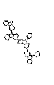 C1=CCCC(N2C3C=C(C4CC=C5C(C4)C4=C(CCCC4)N5C4C=C5C(CC4)OC4C=CCCC54)CCC3C3CC(C4C=C5C(CC4)C4=C(CCCC4)N5C4C=CCCC4)C=CC32)=C1